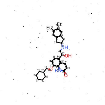 CCc1cc2c(cc1CC)CC(NC[C@@H](O)c1ccc(OCC3CCCCC3)c3[nH]c(=O)ccc13)C2